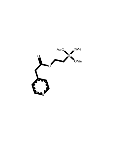 CO[Si](CCOC(=O)Cc1ccncc1)(OC)OC